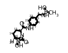 CB(O)NCc1ccc(NC(=O)[C@@H]2CC[C@@H]3CN2C(=O)N3O)cc1